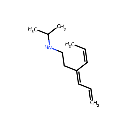 C=C/C=C(\C=C/C)CCNC(C)C